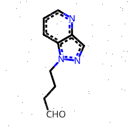 O=CCCCn1ncc2ncccc21